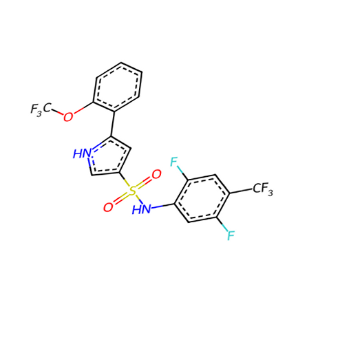 O=S(=O)(Nc1cc(F)c(C(F)(F)F)cc1F)c1c[nH]c(-c2ccccc2OC(F)(F)F)c1